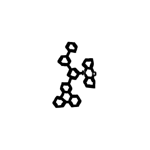 c1ccc(-c2cccc(-c3cc(-c4ccc5c6ccccc6c6ccccc6c5c4)cc(N4c5ccccc5Oc5ccccc54)c3)c2)cc1